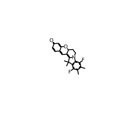 Cc1c(C)c(F)c2c(c1F)N1CCC3OC4=CC(=O)C=CC4=CC3=C1C2(C)C